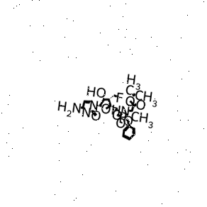 CC(C)OC(=O)[C@H](C)N[P@](=O)(OC[C@H]1O[C@@H](n2ccc(N)nc2=O)[C@H](O)[C@@H]1CF)Oc1ccccc1